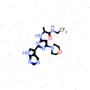 CC(Nc1cc(N2CCOCC2)nc(-c2c[nH]c3ncncc23)n1)C(=O)NCC(F)(F)F